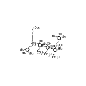 CC(C)(C)c1cc(CCC(=O)O)cc(C(C)(C)C)c1O.CC(C)(C)c1cc(CCC(=O)O)cc(C(C)(C)C)c1O.CC(C)(C)c1cc(CCC(=O)O)cc(C(C)(C)C)c1O.CC(C)(C)c1cc(CCC(=O)O)cc(C(C)(C)C)c1O.CCCCCCCCCCCCCCCCCCOC(=O)CCc1cc(C(C)(C)C)c(O)c(C(C)(C)C)c1